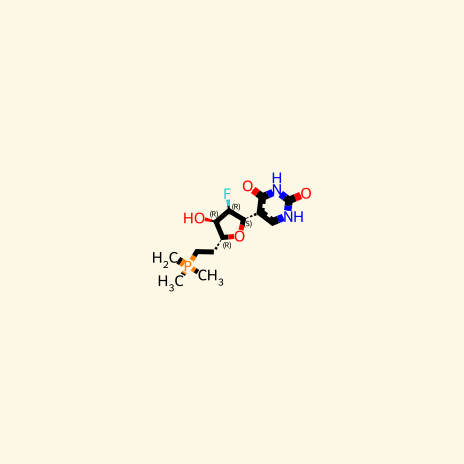 C=P(C)(C)CC[C@H]1O[C@@H](c2c[nH]c(=O)[nH]c2=O)[C@H](F)[C@@H]1O